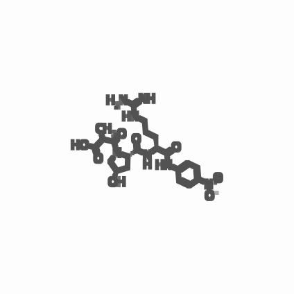 CC(C(=O)O)C(=O)N1C[C@H](O)C[C@H]1C(=O)N[C@@H](CCCNC(=N)N)C(=O)Nc1ccc([N+](=O)[O-])cc1